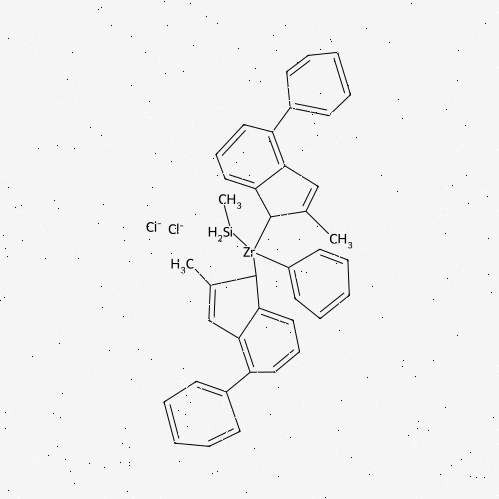 C[SiH2][Zr]([c]1ccccc1)([CH]1C(C)=Cc2c(-c3ccccc3)cccc21)[CH]1C(C)=Cc2c(-c3ccccc3)cccc21.[Cl-].[Cl-]